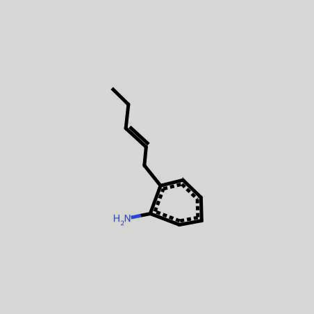 CCC=CCc1[c]cccc1N